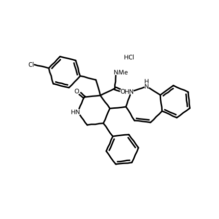 CNC(=O)C1(Cc2ccc(Cl)cc2)C(=O)NCC(c2ccccc2)C1C1C=Cc2ccccc2NN1.Cl